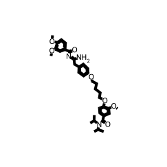 COc1ccc(C(=O)N=C(N)Cc2ccc(OCCCCCOc3ccc(C(=O)N(C(C)C)C(C)C)cc3OC)cc2)cc1OC